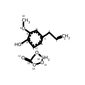 C=CCc1ccc(O)c(OC)c1.O=C1OO[SiH2]O1